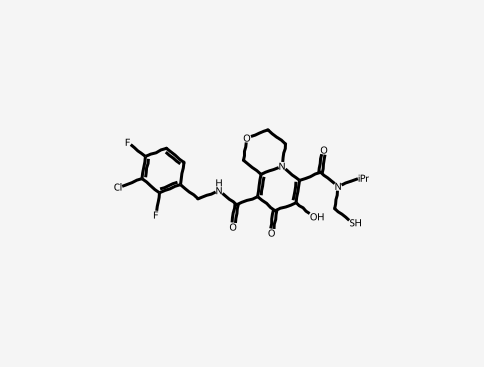 CC(C)N(CS)C(=O)c1c(O)c(=O)c(C(=O)NCc2ccc(F)c(Cl)c2F)c2n1CCOC2